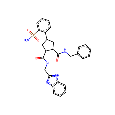 NS(=O)(=O)c1ccccc1C1CC(C(=O)NCc2ccccc2)C(C(=O)NCc2nc3ccccc3[nH]2)C1